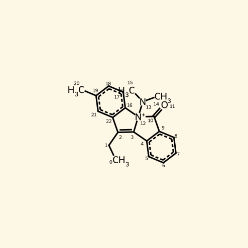 CCC1=C2c3ccccc3C(=O)[N+]2(N(C)C)c2ccc(C)cc21